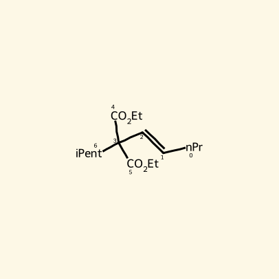 CCCC=CC(C(=O)OCC)(C(=O)OCC)C(C)CCC